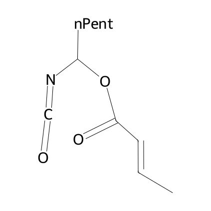 CC=CC(=O)OC(CCCCC)N=C=O